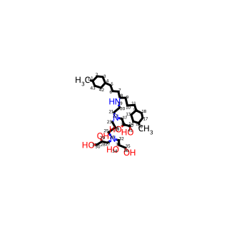 CC1CCC(CCCC(CCCC2CCC(C)CC2)NCCN(CCCN(CC(O)CO)CC(O)CO)CC(O)CO)CC1